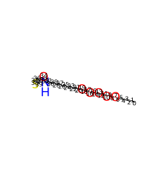 CCCCCCCOCCOCCOCCOCCOCCCCCCCCCCCCNC(=O)c1ccsc1